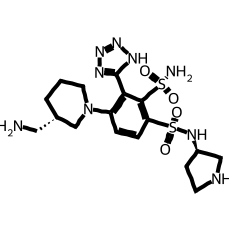 NC[C@@H]1CCCN(c2ccc(S(=O)(=O)N[C@@H]3CCNC3)c(S(N)(=O)=O)c2-c2nnn[nH]2)C1